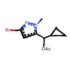 CC(=O)OC(c1cc(Br)nn1C)C1CC1